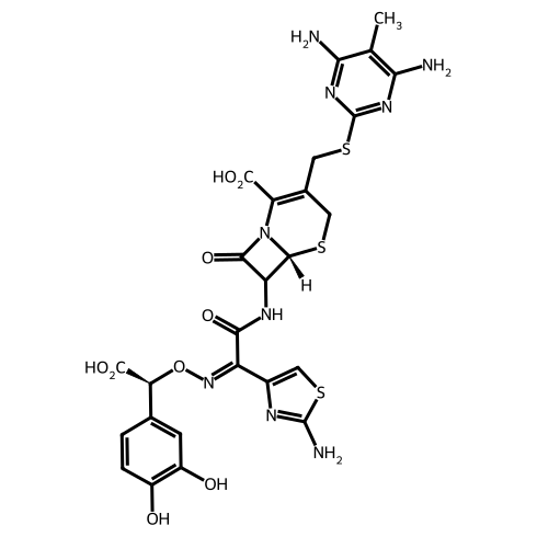 Cc1c(N)nc(SCC2=C(C(=O)O)N3C(=O)C(NC(=O)/C(=N\O[C@H](C(=O)O)c4ccc(O)c(O)c4)c4csc(N)n4)[C@H]3SC2)nc1N